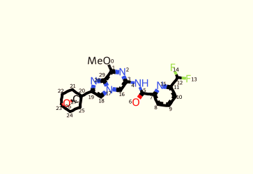 COc1nc(NC(=O)c2cccc(C(F)F)n2)cn2cc(C34CCC(CC3)OC4)nc12